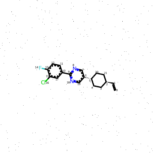 C=C[C@H]1CC[C@H](c2cnc(-c3ccc(F)c(Cl)c3)nc2)CC1